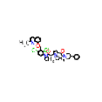 Cc1ccc2cccc(OCc3c(Cl)ccc(N(C)C(=O)Cc4ccc(C(=O)CN5CCC(c6ccccc6)CC5)n4C)c3Cl)c2n1